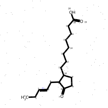 CC/C=C/CC1C(=O)CCC1CCCCCCCC(=O)O